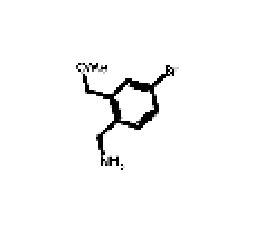 COCc1cc(Br)ccc1CN